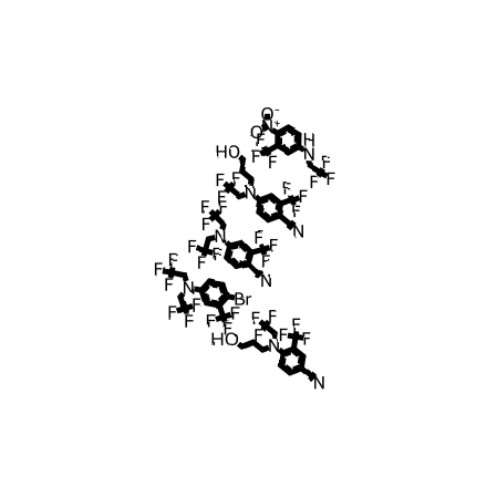 FC(F)(F)CN(CC(F)(F)F)c1ccc(Br)c(C(F)(F)F)c1.N#Cc1ccc(N(CC(F)(F)F)CC(F)(F)F)cc1C(F)(F)F.N#Cc1ccc(N(CCCO)CC(F)(F)F)c(C(F)(F)F)c1.N#Cc1ccc(N(CCCO)CC(F)(F)F)cc1C(F)(F)F.O=[N+]([O-])c1ccc(NCC(F)(F)F)cc1C(F)(F)F